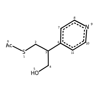 CC(=O)SCC(CO)c1ccncc1